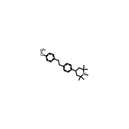 CCCOc1ccc(CCc2ccc(C3CC(C)(C)N(C)C(C)(C)C3)cc2)cc1